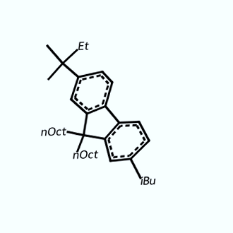 CCCCCCCCC1(CCCCCCCC)c2cc(C(C)CC)ccc2-c2ccc(C(C)(C)CC)cc21